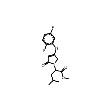 COC(=O)C(CC(C)C)N1CC(Oc2cc(F)ccc2F)=CC1=O